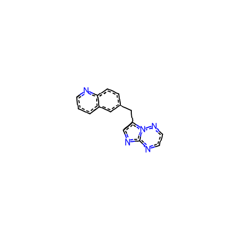 c1cnc2ccc(Cc3cnc4nccnn34)cc2c1